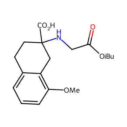 COc1cccc2c1CC(NCC(=O)OCC(C)C)(C(=O)O)CC2